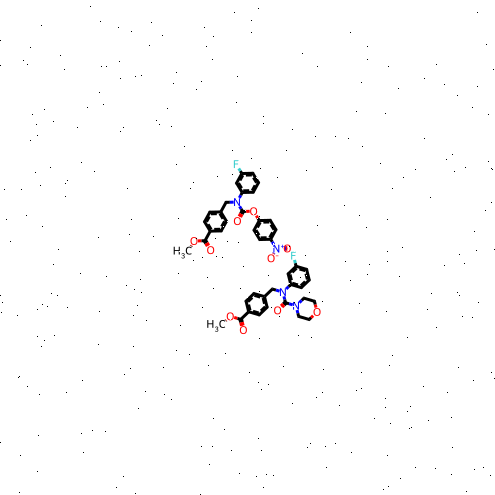 COC(=O)c1ccc(CN(C(=O)N2CCOCC2)c2cccc(F)c2)cc1.COC(=O)c1ccc(CN(C(=O)Oc2ccc([N+](=O)[O-])cc2)c2cccc(F)c2)cc1